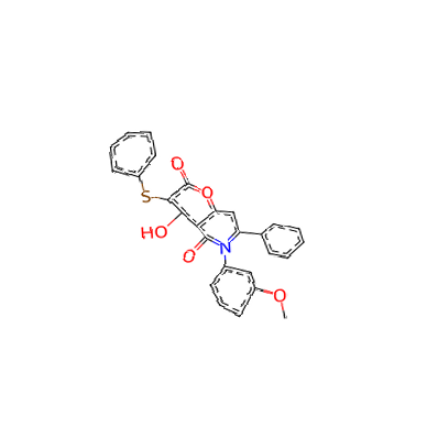 COc1cccc(-n2c(-c3ccccc3)cc3oc(=O)c(Sc4ccccc4)c(O)c3c2=O)c1